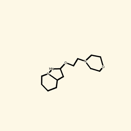 C1CCN2NC(OCCN3CCOCC3)CC2C1